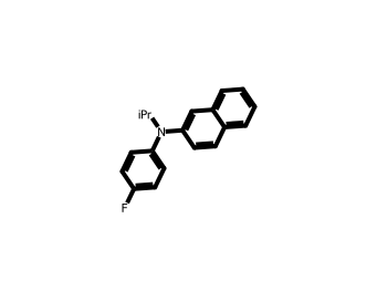 CC(C)N(c1ccc(F)cc1)c1ccc2ccccc2c1